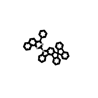 c1ccc(-c2nc(-n3c4ccccc4c4c5c(ccc43)C3(c4ccccc4-c4ccccc43)c3ccccc3-5)nc3c2ccc2ccccc23)cc1